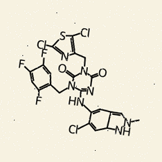 CN1C=C2C=C(Nc3nc(=O)n(Cc4nc(Cl)sc4Cl)c(=O)n3Cc3cc(F)c(F)cc3F)C(Cl)=CC2N1